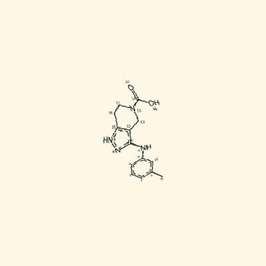 Cc1cccc(Nc2n[nH]c3c2CN(C(=O)O)CC3)c1